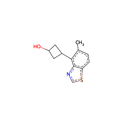 Cc1ccc2scnc2c1C1CC(O)C1